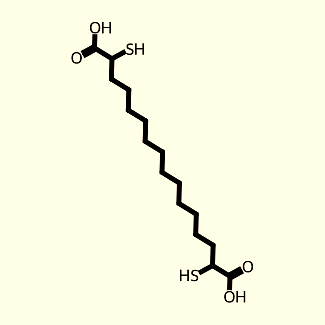 O=C(O)C(S)CCCCCCCCCCCCC(S)C(=O)O